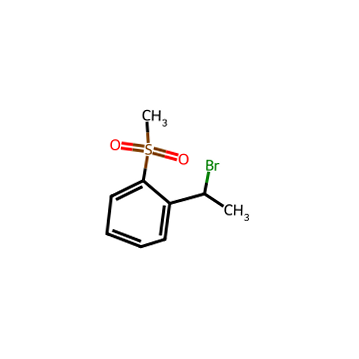 CC(Br)c1ccccc1S(C)(=O)=O